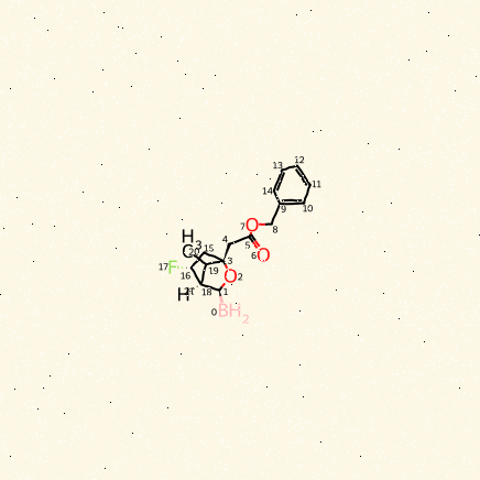 B[C@@H]1O[C@@]2(CC(=O)OCc3ccccc3)C[C@@H](F)[C@H]1C2C